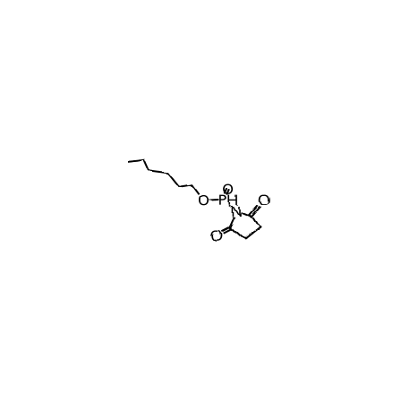 CCCCCCO[PH](=O)N1C(=O)CCC1=O